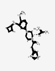 COc1ccc(N2CCN(C(=O)Cc3c[nH]cn3)[C@@H](CC(C)C)C2)cc1OC1CCC1